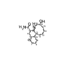 NC(=O)c1cc2ncccc2c2ccccc(O)c[nH]c12